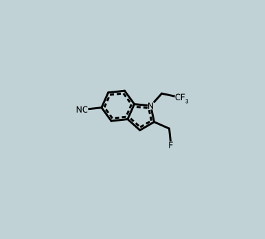 N#Cc1ccc2c(c1)cc(CF)n2CC(F)(F)F